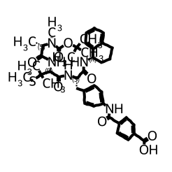 CSC(C)(C)[C@H](NC(=O)[C@H](C)N(C)C(=O)OC(C)(C)C)C(=O)N[C@@H](Cc1ccc(NC(=O)c2ccc(C(=O)O)cc2)cc1)C(=O)N[C@@H]1CCCc2ccccc21